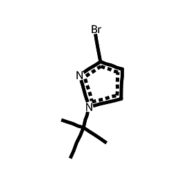 CC(C)(C)n1ccc(Br)n1